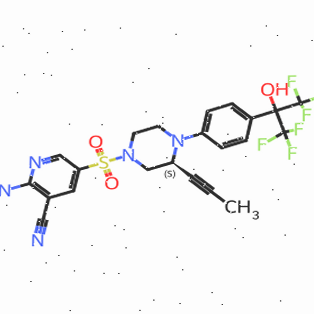 CC#C[C@H]1CN(S(=O)(=O)c2cnc(N)c(C#N)c2)CCN1c1ccc(C(O)(C(F)(F)F)C(F)(F)F)cc1